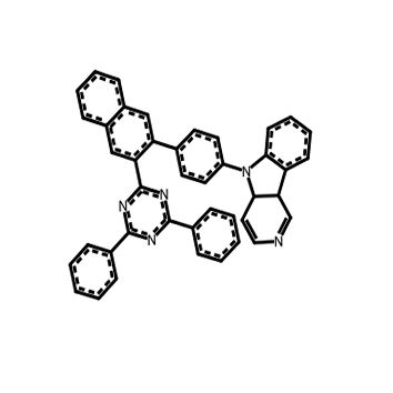 C1=CC2C(C=N1)c1ccccc1N2c1ccc(-c2cc3ccccc3cc2-c2nc(-c3ccccc3)nc(-c3ccccc3)n2)cc1